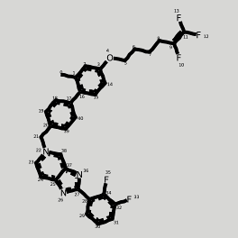 Cc1cc(OCCCCC(F)=C(F)F)ccc1-c1ccc(Cn2ccc3nc(-c4cccc(F)c4F)nc-3c2)cc1